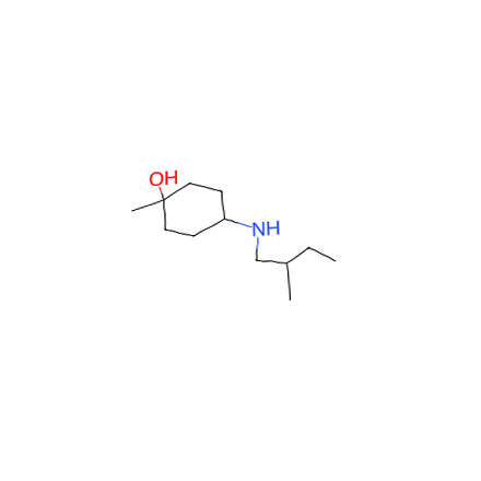 CCC(C)CNC1CCC(C)(O)CC1